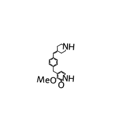 COc1c(Cc2ccc(C=C3CCNCC3)cc2)cc[nH]c1=O